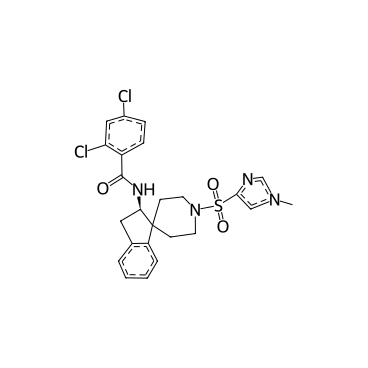 Cn1cnc(S(=O)(=O)N2CCC3(CC2)c2ccccc2C[C@H]3NC(=O)c2ccc(Cl)cc2Cl)c1